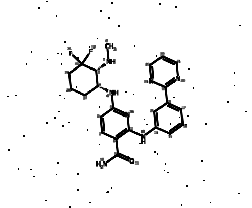 CN[C@@H]1[C@H](Nc2ccc(C(N)=O)c(Nc3cccc(-c4ncccn4)c3)n2)CCCC1(F)F